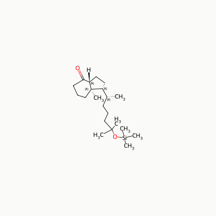 C[C@H](CCCC(C)(C)O[Si](C)(C)C)[C@H]1CC[C@H]2C(=O)CCC[C@]12C